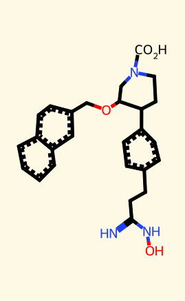 N=C(CCc1ccc(C2CCN(C(=O)O)CC2OCc2ccc3ccccc3c2)cc1)NO